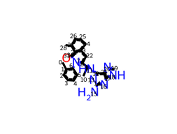 Cc1ccccc1-n1c(C(C)Nc2nc(N)nc3[nH]cnc23)cc2cccc(C)c2c1=O